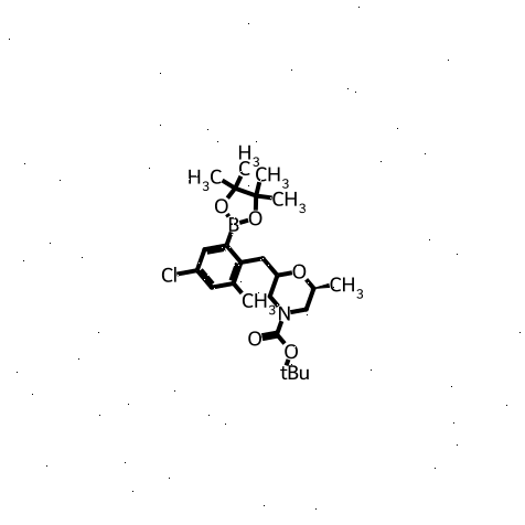 Cc1cc(Cl)cc(B2OC(C)(C)C(C)(C)O2)c1CC1CN(C(=O)OC(C)(C)C)C[C@H](C)O1